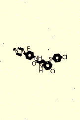 CN1CCN(c2ccc(NC(=O)c3cc4c(Sc5ccc(Cl)cc5)cc(Cl)cc4[nH]3)cc2F)CC1